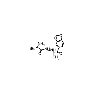 CCC(C)C(N)C(=O)NCNC(C)C(=O)c1ccc2c(c1)OCO2